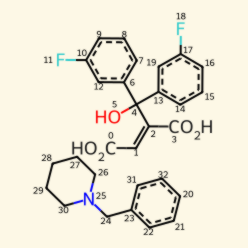 O=C(O)/C=C(/C(=O)O)C(O)(c1cccc(F)c1)c1cccc(F)c1.c1ccc(CN2CCCCC2)cc1